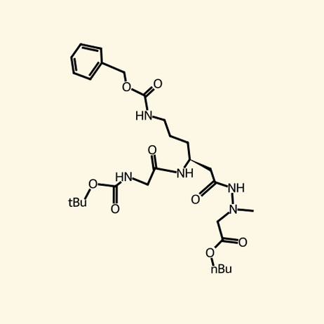 CCCCOC(=O)CN(C)NC(=O)C[C@H](CCCNC(=O)OCc1ccccc1)NC(=O)CNC(=O)OC(C)(C)C